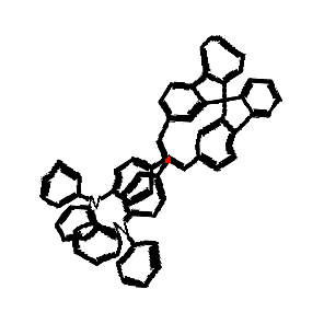 C(=C\c1ccc2c(c1)C1(c3ccccc3-2)c2ccccc2-c2ccc(/C=C/c3ccc(N(c4ccccc4)c4ccccc4)cc3)cc21)/c1ccc(N(c2ccccc2)c2ccccc2)cc1